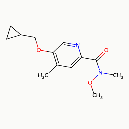 CON(C)C(=O)c1cc(C)c(OCC2CC2)cn1